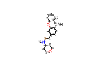 CCC(C)CC(Oc1cccc(CSN(C)C2CCOCC2)c1)C(CC)OC